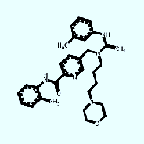 C=C(Nc1cccc(C)c1)N(CCCCN1CCOCC1)Cc1ccc(C(=O)Nc2ccccc2N)nc1